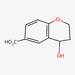 O=C(O)c1ccc2c(c1)C(O)CCO2